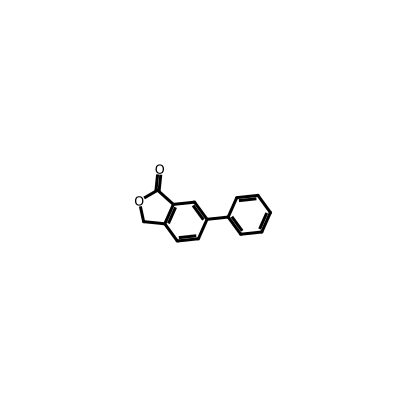 O=C1OCc2ccc(-c3ccccc3)cc21